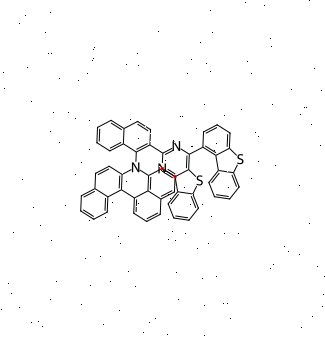 c1ccc2c3c(ccc2c1)N(c1c(-c2nc(-c4cccc5sc6ccccc6c45)c4sc5ccccc5c4n2)ccc2ccccc12)c1cccc2cccc-3c12